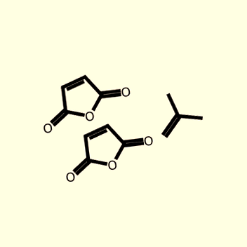 C=C(C)C.O=C1C=CC(=O)O1.O=C1C=CC(=O)O1